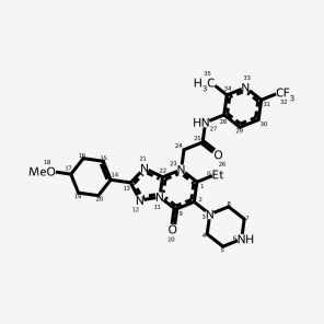 CCc1c(N2CCNCC2)c(=O)n2nc(C3=CCC(OC)CC3)nc2n1CC(=O)Nc1ccc(C(F)(F)F)nc1C